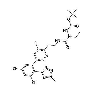 CCN(NC(=O)OC(C)(C)C)C(=O)NCCc1ncc(-c2cc(Cl)cc(Cl)c2-c2nnn(C)n2)cc1F